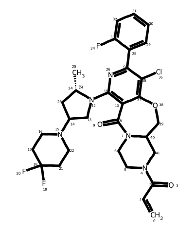 C=CC(=O)N1CCN2C(=O)c3c(N4CC(N5CCC(F)(F)CC5)C[C@@H]4C)nc(-c4ccccc4F)c(Cl)c3OCC2C1